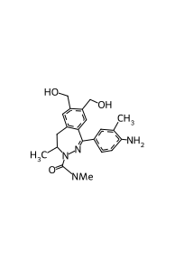 CNC(=O)N1N=C(c2ccc(N)c(C)c2)c2cc(CO)c(CO)cc2CC1C